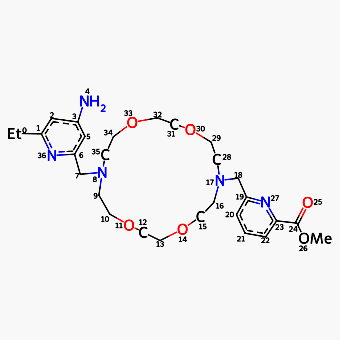 CCc1cc(N)cc(CN2CCOCCOCCN(Cc3cccc(C(=O)OC)n3)CCOCCOCC2)n1